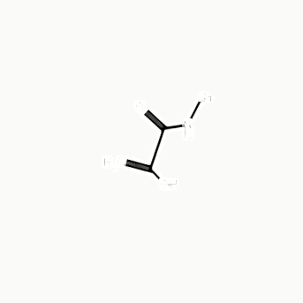 C=C(O)C(=O)NC(C)C